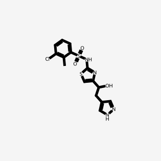 Cc1c(Cl)cccc1S(=O)(=O)Nc1nc(C(O)Cc2cn[nH]c2)cs1